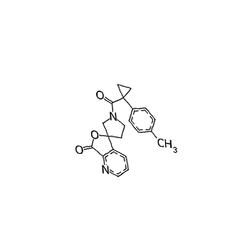 Cc1ccc(C2(C(=O)N3CCC4(C3)OC(=O)c3ncccc34)CC2)cc1